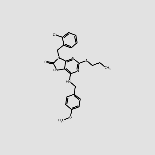 CCCSc1nc(NCc2ccc(OC)cc2)c2[nH]c(=O)n(Cc3ccccc3Cl)c2n1